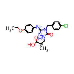 CCOc1ccc(/N=c2\[nH]n(C[C@@H](C)C(=O)O)c(=O)n2Cc2ccc(Cl)cc2)cc1